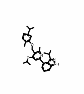 Cc1ccc(C(C)C)cc1OCc1c(OC(C)C)cc(-c2cccc3[nH]nc(C(C)C)c23)nc1C